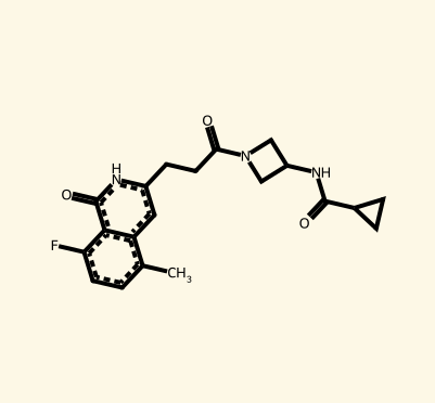 Cc1ccc(F)c2c(=O)[nH]c(CCC(=O)N3CC(NC(=O)C4CC4)C3)cc12